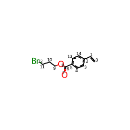 C=Cc1ccc(C(=O)OCCCBr)cc1